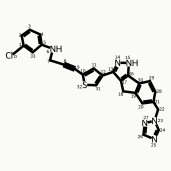 Clc1cccc(NCC#Cc2cc(-c3n[nH]c4c3Cc3cc(Cn5cncn5)ccc3-4)cs2)c1